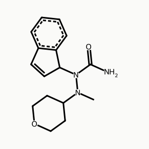 CN(C1CCOCC1)N(C(N)=O)C1C=Cc2ccccc21